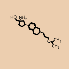 CC(C)OCCC[C@H]1CCc2cc([C@H]3CC[C@](N)(CO)C3)ccc2C1